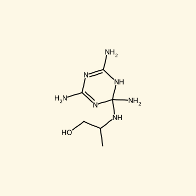 CC(CO)NC1(N)N=C(N)N=C(N)N1